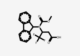 COC(=O)N(C1c2ccccc2-c2ccccc21)C(CC(=O)O)C(F)(F)F